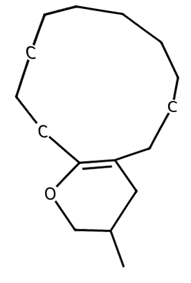 CC1COC2=C(CCCCCCCCCC2)C1